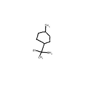 BC(C)(CC)C1CCC(C)CC1